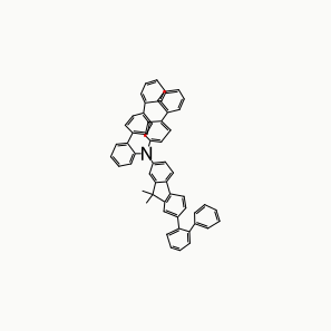 CC1(C)c2cc(-c3ccccc3-c3ccccc3)ccc2-c2ccc(N(c3ccc(-c4ccccc4)cc3)c3ccccc3-c3ccc(-c4ccccc4)cc3)cc21